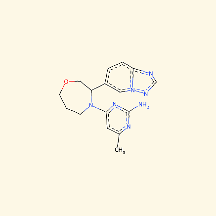 Cc1cc(N2CCCOCC2c2ccc3ncnn3c2)nc(N)n1